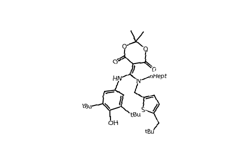 CCCCCCCN(Cc1ccc(CC(C)(C)C)s1)C(Nc1cc(C(C)(C)C)c(O)c(C(C)(C)C)c1)=C1C(=O)OC(C)(C)OC1=O